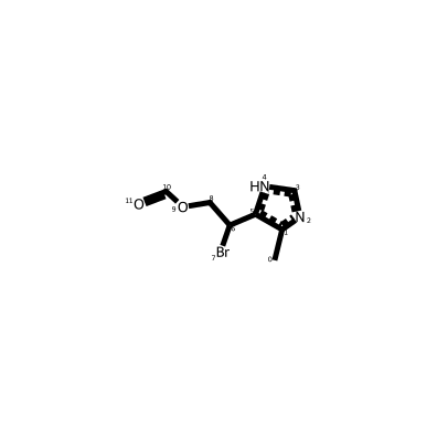 Cc1nc[nH]c1C(Br)COC=O